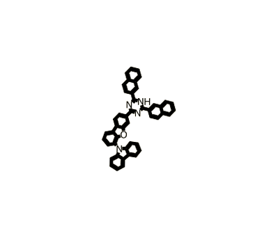 c1ccc2cc(C3=NC(c4ccc5c(c4)oc4c(-n6c7ccccc7c7ccccc76)cccc45)=NC(c4ccc5ccccc5c4)N3)ccc2c1